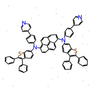 c1ccc(-c2sc3cc(N(c4ccc(-c5ccncc5)cc4)c4ccc5ccc6c(N(c7ccc(-c8ccncc8)cc7)c7ccc8c(-c9ccccc9)c(-c9ccccc9)sc8c7)ccc7ccc4c5c76)ccc3c2-c2ccccc2)cc1